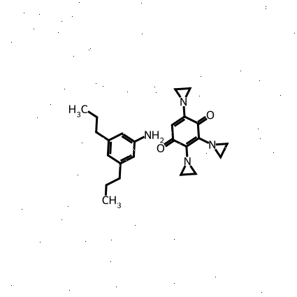 CCCc1cc(N)cc(CCC)c1.O=C1C=C(N2CC2)C(=O)C(N2CC2)=C1N1CC1